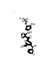 NS(=O)(=O)OC[C@H]1C[C@@H](Nc2ncncc2C(=O)c2cc([C@H](O)c3cccc(Cl)c3)c(CO)s2)C[C@@H]1O